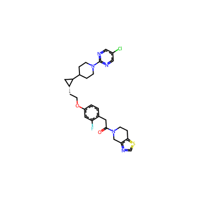 O=C(Cc1ccc(OCC[C@@H]2CC2C2CCN(c3ncc(Cl)cn3)CC2)cc1F)N1CCc2scnc2C1